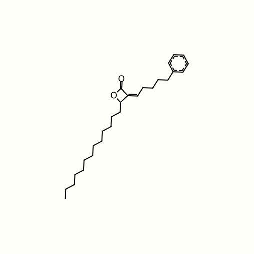 CCCCCCCCCCCCCC1OC(=O)C1=CCCCCc1ccccc1